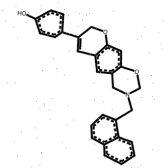 Oc1ccc(C2=Cc3cc4c(cc3OC2)OCN(Cc2cccc3ccccc23)C4)cc1